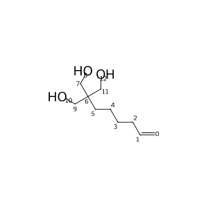 C=CCCCCC(CO)(CO)CO